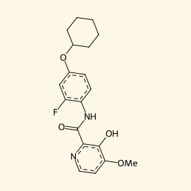 COc1ccnc(C(=O)Nc2ccc(OC3CCCCC3)cc2F)c1O